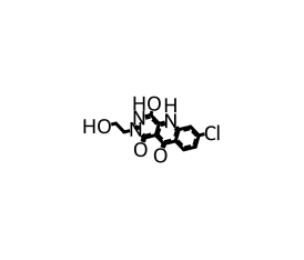 O=c1c2ccc(Cl)cc2[nH]c2c(O)nn(CCO)c(=O)c12